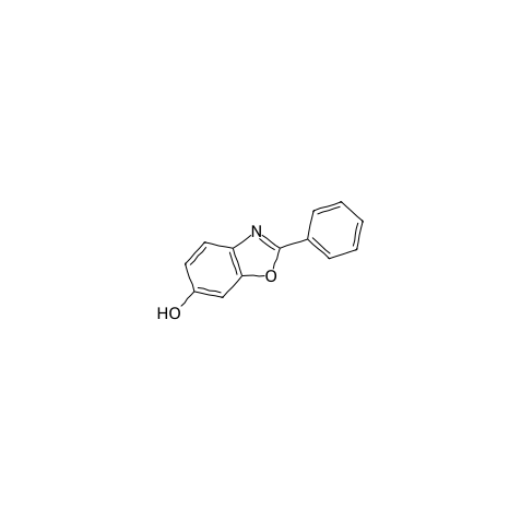 Oc1ccc2nc(-c3ccccc3)oc2c1